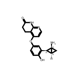 N[C@@]12C[C@H]1[C@H]2c1cc(Oc2ccnc3c2CCC(=O)N3)ccc1O